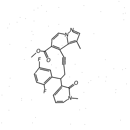 COC(=O)c1ccn2ncc(C)c2c1C#CCC(c1cc(F)ccc1F)c1cccn(C)c1=O